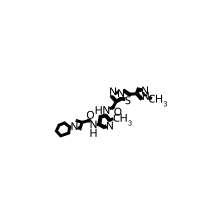 Cc1ncc(NC(=O)C2CN(C3CCCCC3)C2)cc1NC(=O)c1cnn2cc(-c3cnn(C)c3)sc12